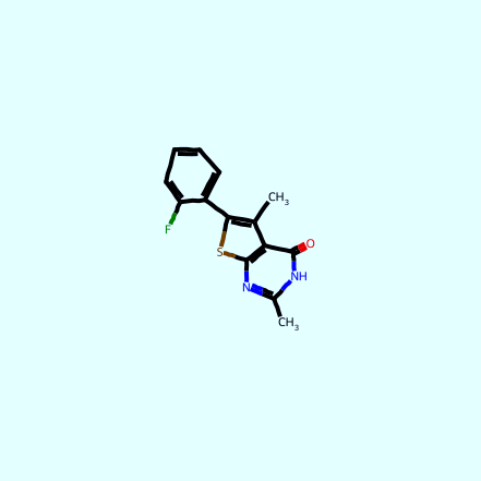 Cc1nc2sc(-c3ccccc3F)c(C)c2c(=O)[nH]1